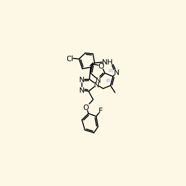 C/C1=C(c2ncco2)\N=C/Nc2ccc(Cl)cc2-c2nnc(COc3ccccc3F)n2C1